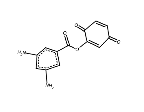 Nc1cc(N)cc(C(=O)OC2=CC(=O)C=CC2=O)c1